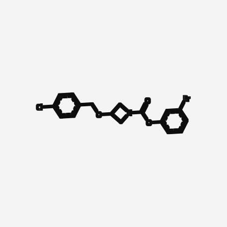 O=C(Oc1cccc(Br)c1)N1CC(OCc2ccc(Cl)cc2)C1